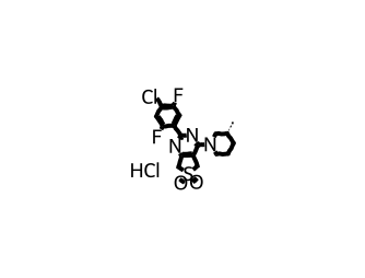 C[C@@H]1CCCN(c2nc(-c3cc(F)c(Cl)cc3F)nc3c2CS(=O)(=O)C3)C1.Cl